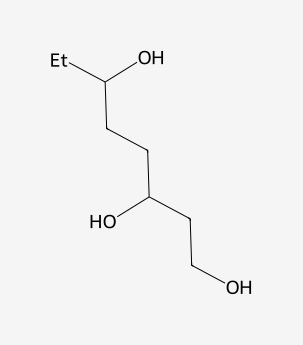 [CH2]CC(O)CCC(O)CCO